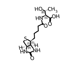 C[C@@H](O)[C@H](NC(=O)CCCC[C@@H]1SC[C@@H]2NC(=O)N[C@@H]21)C(=O)O